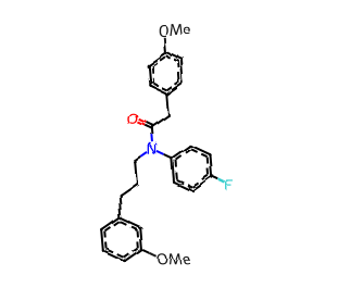 COc1ccc(CC(=O)N(CCCc2cccc(OC)c2)c2ccc(F)cc2)cc1